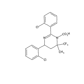 CC1(C(F)(F)F)CC(c2ccccc2Cl)N=C(c2ccccc2Cl)N1C(=O)O